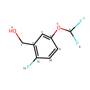 OCc1cc(OC(F)F)ccc1F